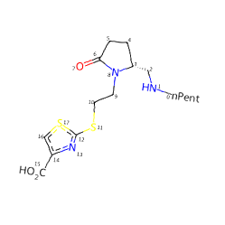 CCCCCNC[C@H]1CCC(=O)N1CCSc1nc(C(=O)O)cs1